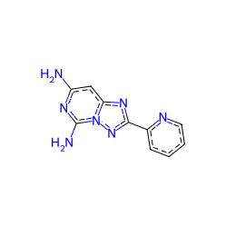 Nc1cc2nc(-c3ccccn3)nn2c(N)n1